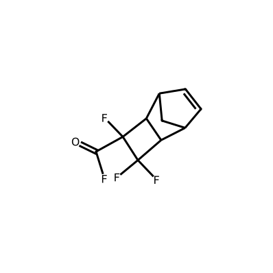 O=C(F)C1(F)C2C3C=CC(C3)C2C1(F)F